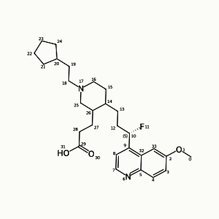 COc1ccc2nccc([C@@H](F)CCC3CCN(CCC4CCCC4)CC3CCC(=O)O)c2c1